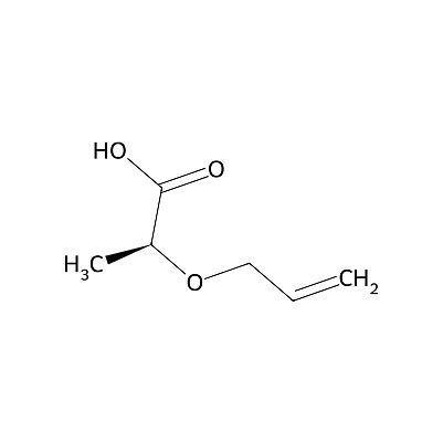 C=CCO[C@@H](C)C(=O)O